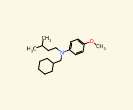 COc1ccc(N(CCC(C)C)CC2CCCCC2)cc1